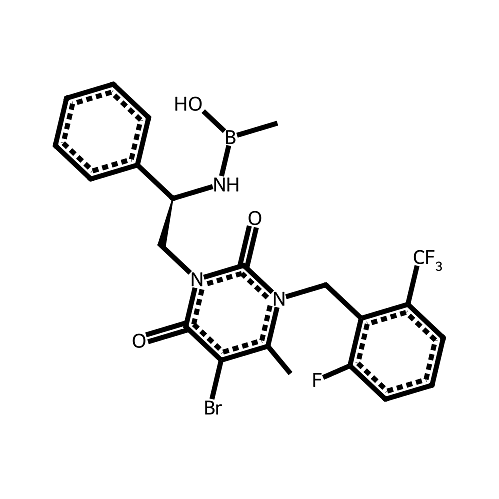 CB(O)N[C@@H](Cn1c(=O)c(Br)c(C)n(Cc2c(F)cccc2C(F)(F)F)c1=O)c1ccccc1